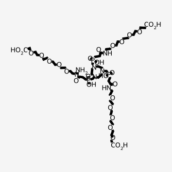 NN(CCOCCOCCOCCOCCOCC(=O)O)C(=O)CCP(=O)(O)CN1CCN(CP(=O)(O)CCC(=O)NCCOCCOCCOCCOCCOCC(=O)O)CCN(CP(=O)(O)CCC(=O)NCCOCCOCCOCCOCCC(=O)O)CC1